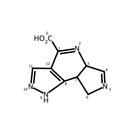 O=C(O)C1=NC2C=NCC2c2[nH]ncc21